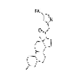 C[C@H]1CCC2C(CCC3C2CCC2(C)C(C(=O)Cn4cc(C#N)cn4)CCC32)C1